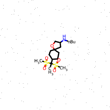 CCCCNC1COC2(CCC(C(C)(S(C)(=O)=O)S(C)(=O)=O)CC2)C1